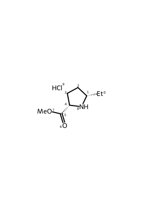 CC[C@H]1CC[C@@H](C(=O)OC)N1.Cl